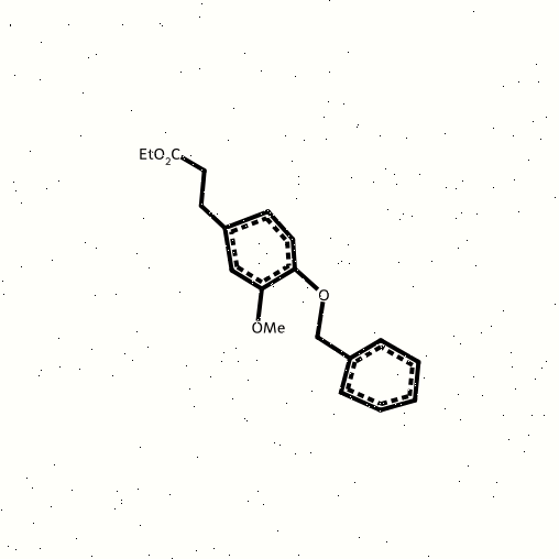 CCOC(=O)CCc1ccc(OCc2ccccc2)c(OC)c1